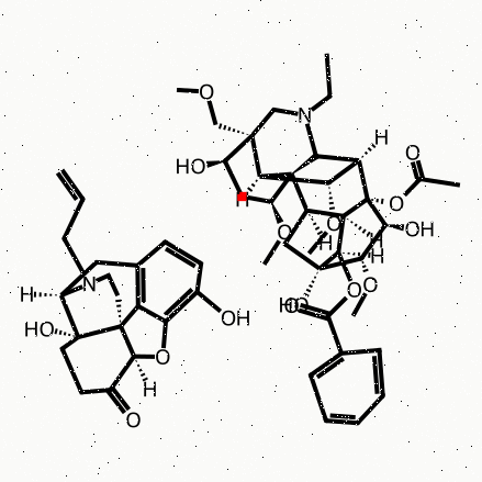 C=CCN1CC[C@]23c4c5ccc(O)c4O[C@H]2C(=O)CC[C@@]3(O)[C@H]1C5.CCN1C[C@]2(COC)[C@H](O)C[C@H](OC)[C@]34C1[C@H]([C@H](OC)[C@H]23)[C@]1(OC(C)=O)[C@H]2[C@@H](OC(=O)c3ccccc3)[C@](O)(C[C@H]24)[C@@H](OC)[C@@H]1O